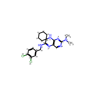 CN(C)c1ncc2c(n1)NC1(CCCCC1)C(NCc1ccc(Cl)c(Cl)c1)=N2